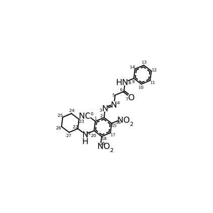 N#Cc1c(N=NCC(=O)Nc2ccccc2)c([N+](=O)[O-])cc([N+](=O)[O-])c1NC1CCCCC1